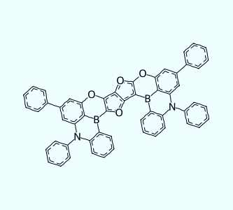 c1ccc(-c2cc3c4c(c2)N(c2ccccc2)c2ccccc2B4c2oc4c5c(oc4c2O3)Oc2cc(-c3ccccc3)cc3c2B5c2ccccc2N3c2ccccc2)cc1